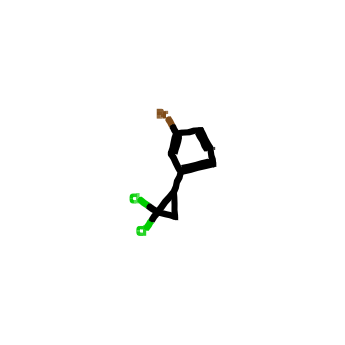 ClC1(Cl)CC1c1c[c]cc(Br)c1